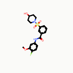 COc1cc(NC(=O)c2cccc(S(=O)(=O)N3CCC(O)CC3)c2)ccc1F